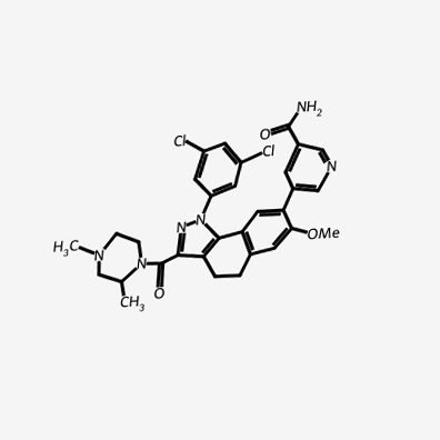 COc1cc2c(cc1-c1cncc(C(N)=O)c1)-c1c(c(C(=O)N3CCN(C)CC3C)nn1-c1cc(Cl)cc(Cl)c1)CC2